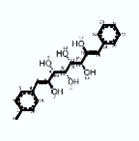 Cc1ccc(C=C(O)[C@H](O)[C@@H](O)[C@H](O)[C@H](O)C(O)=Cc2ccccc2)cc1